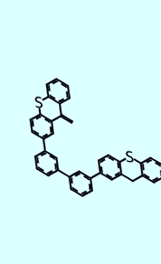 C=C1c2ccccc2Sc2ccc(-c3cccc(-c4cccc(-c5ccc6c(c5)Cc5ccccc5S6)c4)c3)cc21